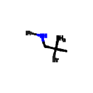 BC(C)(CNC(C)C)C(C)C